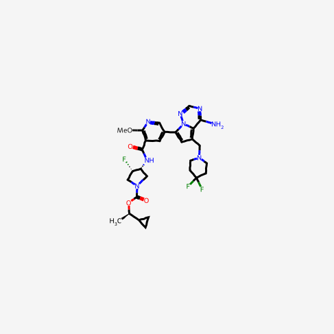 COc1ncc(-c2cc(CN3CCC(F)(F)CC3)c3c(N)ncnn23)cc1C(=O)N[C@@H]1CN(C(=O)O[C@H](C)C2CC2)C[C@@H]1F